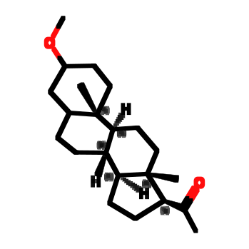 COC1CC[C@@]2(C)C(CC[C@H]3[C@@H]4CC[C@H](C(C)=O)[C@@]4(C)CC[C@@H]32)C1